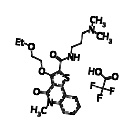 CCOCCOc1c(C(=O)NCCCN(C)C)sc2c1c(=O)n(C)c1ccccc21.O=C(O)C(F)(F)F